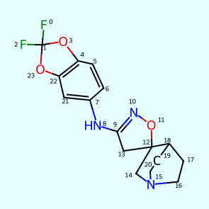 FC1(F)Oc2ccc(NC3=NOC4(C3)CN3CCC4CC3)cc2O1